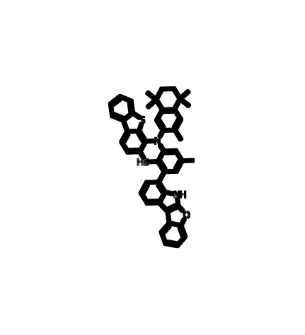 Cc1cc(-c2cccc3c2[nH]c2oc4ccccc4c23)c2c(c1)N(c1cc3c(cc1C)C(C)(C)CCC3(C)C)c1c(ccc3c1sc1ccccc13)B2